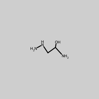 NNCC(N)O